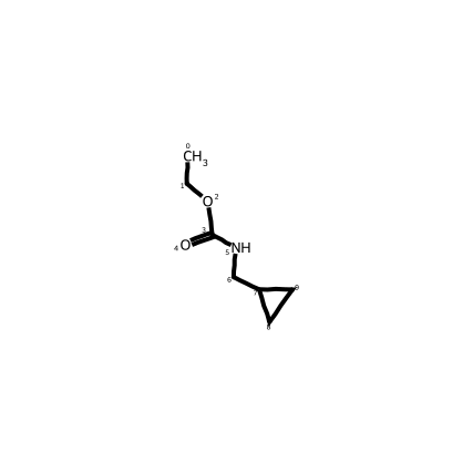 CCOC(=O)NCC1CC1